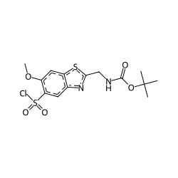 COc1cc2sc(CNC(=O)OC(C)(C)C)nc2cc1S(=O)(=O)Cl